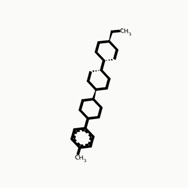 CC[C@H]1CC[C@H]([C@H]2CC[C@H](C3CCC(c4ccc(C)cc4)CC3)CC2)CC1